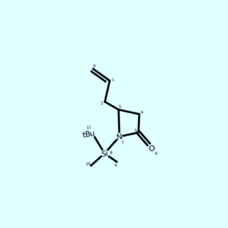 C=CCC1CC(=O)N1[Si](C)(C)C(C)(C)C